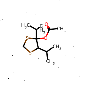 CC(=O)OC1(C(C)C)S[C]SC1C(C)C